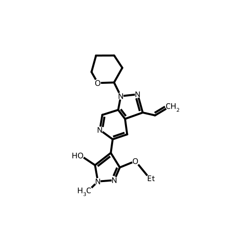 C=Cc1nn(C2CCCCO2)c2cnc(-c3c(OCC)nn(C)c3O)cc12